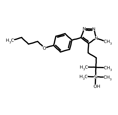 CCCCOc1ccc(-c2nnn(C)c2CCC(C)(C)[Si](C)(C)O)cc1